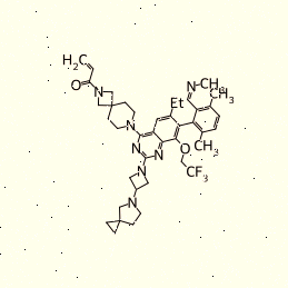 C=CC(=O)N1CC2(CCN(c3nc(N4CC(N5CCC6(CC6)C5)C4)nc4c(OCC(F)(F)F)c(-c5c(C)ccc(C)c5/C=N\C)c(CC)cc34)CC2)C1